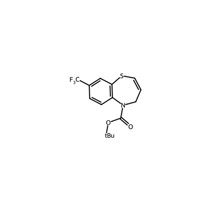 CC(C)(C)OC(=O)N1CC=CSc2cc(C(F)(F)F)ccc21